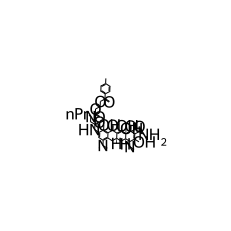 CCCN(CC(=O)Nc1cc(N(C)C)c2c(c1O)C(=O)C1=C(O)[C@]3(O)C(=O)C(C(N)=O)=C(O)[C@@H](N(C)C)[C@@H]3C[C@@H]1C2)C(=O)OCOC(=O)c1ccc(C)cc1